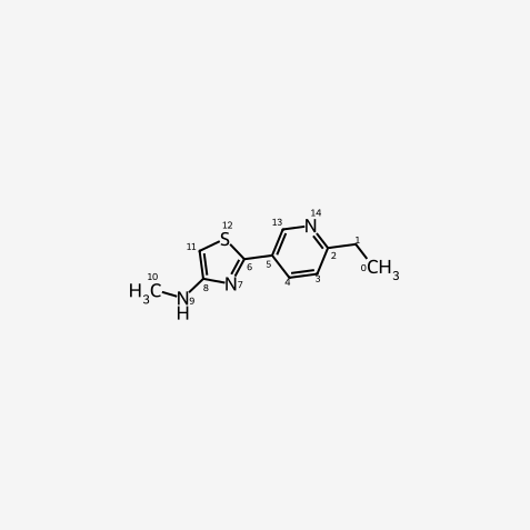 CCc1ccc(-c2nc(NC)cs2)cn1